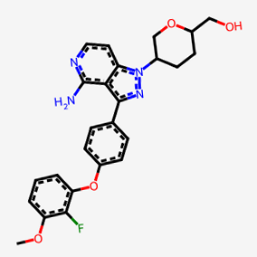 COc1cccc(Oc2ccc(-c3nn(C4CCC(CO)OC4)c4ccnc(N)c34)cc2)c1F